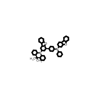 CC1(C)c2ccccc2N(c2cc(-c3ccc(N(c4ccccc4)c4ccc5c(c4)oc4ccccc45)cc3)c3oc4ccccc4c3c2)c2ccccc21